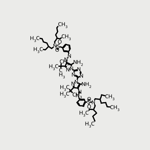 CCCCC(CC)CN(CC(CC)CCCC)S(=O)(=O)c1cccc(/N=N/c2c(C(C)(C)C)nn(-c3ncnc(-n4nc(C(C)(C)C)c(/N=N/c5cccc(S(=O)(=O)N(CC(CC)CCCC)CC(CC)CCCC)c5)c4N)n3)c2N)c1